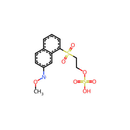 CO[N]c1ccc2cccc(S(=O)(=O)CCOS(=O)(=O)O)c2c1